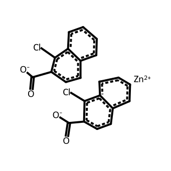 O=C([O-])c1ccc2ccccc2c1Cl.O=C([O-])c1ccc2ccccc2c1Cl.[Zn+2]